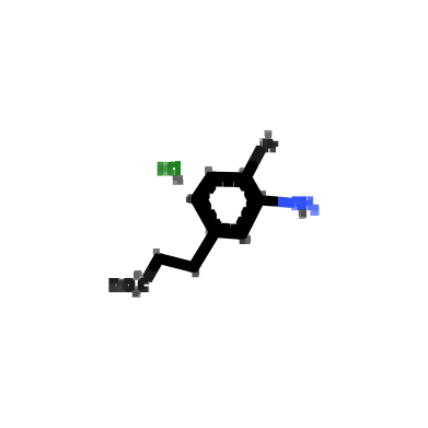 CCOC(=O)CCc1ccc(C(C)C)c(N)c1.Cl